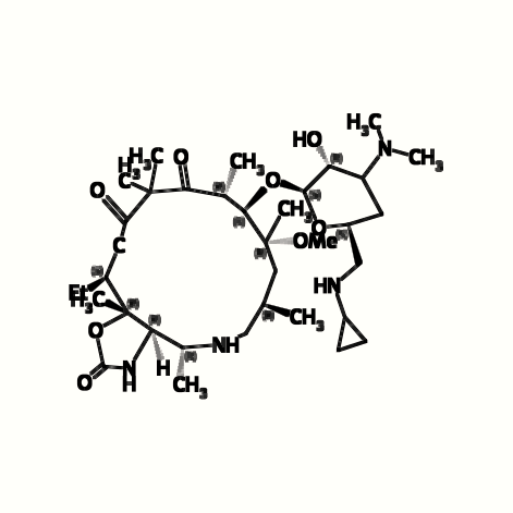 CC[C@H]1CC(=O)C(C)(C)C(=O)[C@H](C)[C@@H](O[C@@H]2O[C@H](CNC3CC3)CC(N(C)C)[C@H]2O)[C@](C)(OC)C[C@@H](C)CN[C@H](C)[C@H]2NC(=O)O[C@]12C